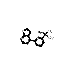 CC(C)(C(=O)O)c1cccc(-c2ccnc3[nH]ccc23)n1